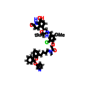 COc1cc(OCC(=O)N(C)CCCCc2cccc(C3(C(=O)OC4CN5CCC4CC5)CCCCC3)c2)c(Cl)cc1CNC[C@H](O[Si](C)(C)C(C)(C)C)c1ccc(O)c2[nH]c(=O)ccc12